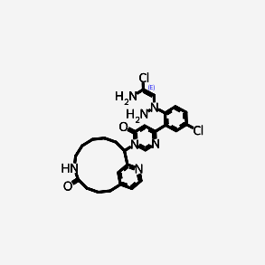 N/C(Cl)=C\N(N)c1ccc(Cl)cc1-c1cc(=O)n(C2CCCCCNC(=O)CCCc3ccnc2c3)cn1